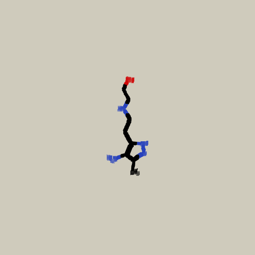 Cc1n[nH]c(CCNCCO)c1N